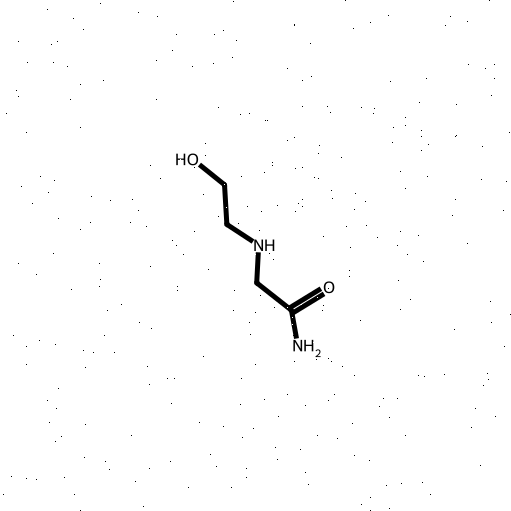 NC(=O)CNCCO